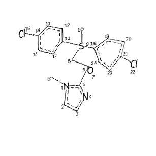 Cn1ccnc1C(=O)CS(C)(c1ccc(Cl)cc1)c1ccc(Cl)cc1